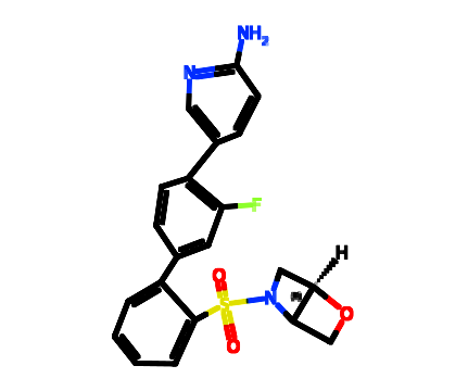 Nc1ccc(-c2ccc(-c3ccccc3S(=O)(=O)N3C[C@H]4OCC43)cc2F)cn1